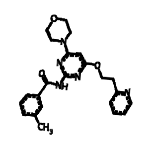 Cc1cccc(C(=O)Nc2nc(OCCc3ccccn3)cc(N3CCOCC3)n2)c1